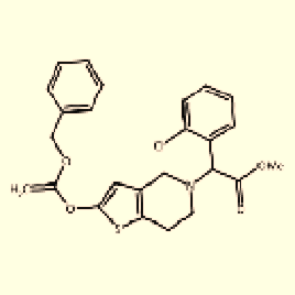 C=C(OCc1ccccc1)Oc1cc2c(s1)CCN(C(C(=O)OC)c1ccccc1Cl)C2